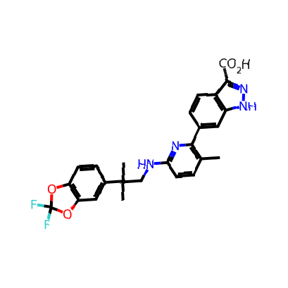 Cc1ccc(NCC(C)(C)c2ccc3c(c2)OC(F)(F)O3)nc1-c1ccc2c(C(=O)O)n[nH]c2c1